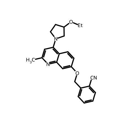 CCOC1CCN(c2cc(C)nc3cc(OCc4ccccc4C#N)ccc23)C1